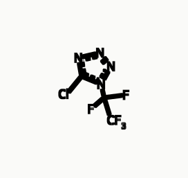 FC(F)(F)C(F)(F)n1nnnc1Cl